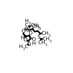 CO[C@@H]1O[C@@H]2COO[Si](C(C)C)(C(C)CCC(C)SC(C)C)OC2[C@@H]1O